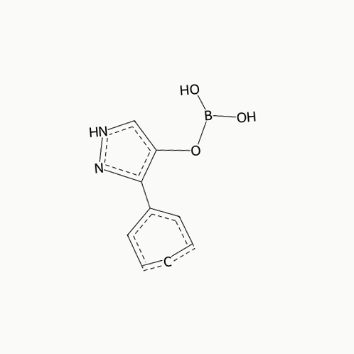 OB(O)Oc1c[nH]nc1-c1ccccc1